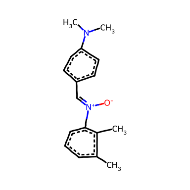 Cc1cccc([N+]([O-])=Cc2ccc(N(C)C)cc2)c1C